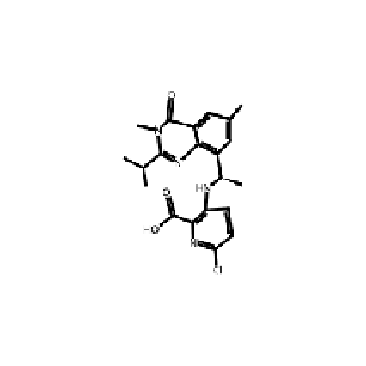 Cc1cc([C@@H](C)Nc2ccc(Cl)nc2C(=O)O)c2nc(C(C)C)n(C)c(=O)c2c1